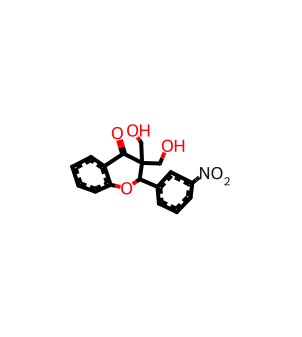 O=C1c2ccccc2OC(c2cccc([N+](=O)[O-])c2)C1(CO)CO